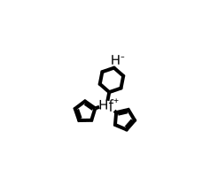 C1=CC[C]([Hf+]([C]2=CC=CC2)[CH]2CCCCC2)=C1.[H-]